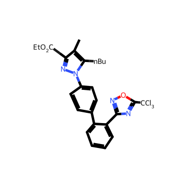 CCCCc1c(C)c(C(=O)OCC)nn1-c1ccc(-c2ccccc2-c2noc(C(Cl)(Cl)Cl)n2)cc1